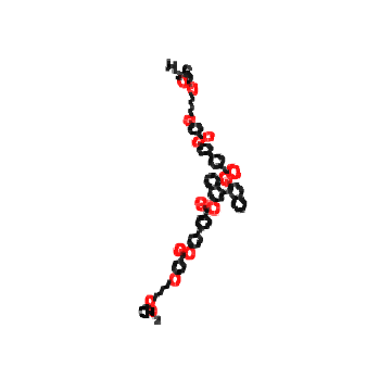 C=CC(=O)OCCCCCCOc1ccc(C(=O)Oc2ccc(-c3ccc(C(=O)Oc4cc(-c5c(OC(=O)c6ccc(-c7ccc(OC(=O)c8ccc(OCCCCCCOC(=O)C=C)cc8)cc7)cc6)ccc6ccccc56)c5ccccc5c4)cc3)cc2)cc1